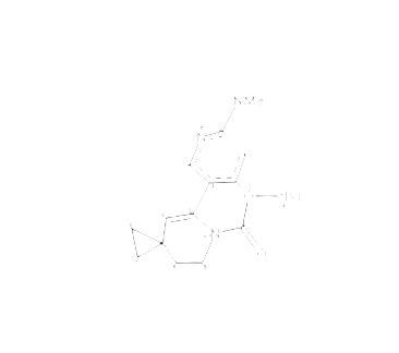 CNc1ccc(C2=CC3(CCN2C(=O)OC(C)(C)C)CC3)cn1